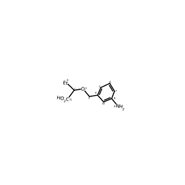 CCC(OCc1cccc(N)c1)C(=O)O